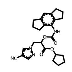 N#Cc1cnn(CC(OC(=O)Nc2c3c(cc4c2CCC4)CCC3)C(=O)OC2CCCC2)c1